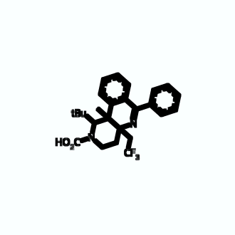 CC(C)(C)C1N(C(=O)O)CCC2(CC(F)(F)F)N=C(c3ccccc3)c3ccccc3C12C